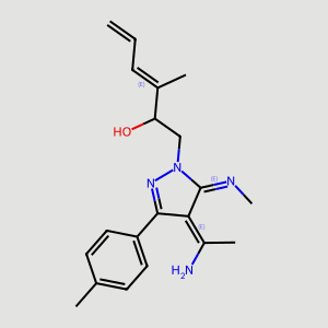 C=C/C=C(\C)C(O)CN1N=C(c2ccc(C)cc2)C(=C(/C)N)/C1=N\C